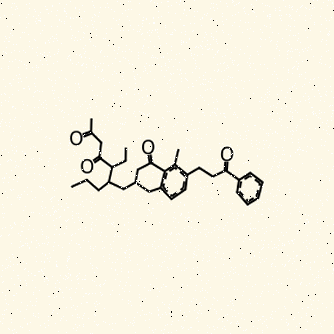 CCCC(CC1CC(=O)c2c(ccc(CCC(=O)c3ccccc3)c2C)C1)C(CC)C(=O)CC(C)=O